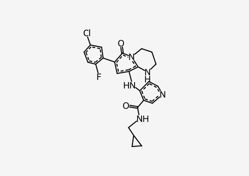 O=C(NCC1CC1)c1cnccc1Nc1cc(-c2cc(Cl)ccc2F)c(=O)n2c1NCCC2